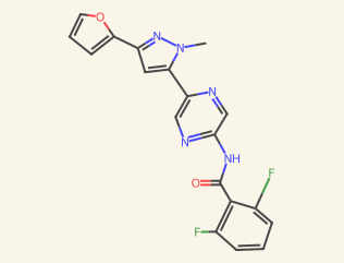 Cn1nc(-c2ccco2)cc1-c1cnc(NC(=O)c2c(F)cccc2F)cn1